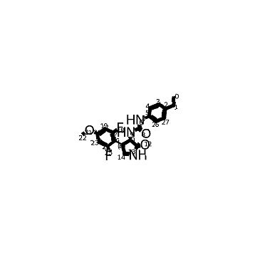 CCc1ccc(NC(=O)NC2C(=O)NC[C@H]2c2c(F)cc(OC)cc2F)cc1